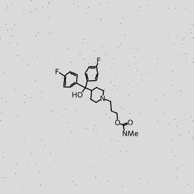 CNC(=O)OCCCN1CCC(C(O)(c2ccc(F)cc2)c2ccc(F)cc2)CC1